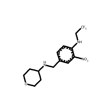 O=[N+]([O-])c1cc(CNC2CCOCC2)ccc1NCC(F)(F)F